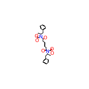 O=C(C/C=C/CC(=O)N1C(=O)OCC1Cc1ccccc1)N1C(=O)OCC1Cc1ccccc1